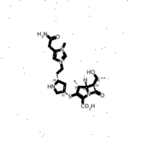 C[C@@H](O)[C@H]1C(=O)N2C(C(=O)O)=C(S[C@@H]3CN[C@H](CC[n+]4cc(CC(N)=O)n(C)c4)C3)[C@H](C)[C@H]12